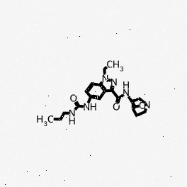 CCCNC(=O)Nc1ccc2c(c1)c(C(=O)NC1CN3CCC1CC3)nn2CC